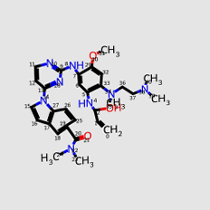 C=CC(O)Nc1cc(Nc2nccc(-n3ccc4cc(C(=O)N(C)C)ccc43)n2)c(OC)cc1N(C)CCN(C)C